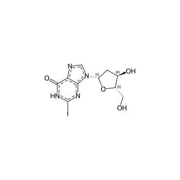 O=c1[nH]c(I)nc2c1ncn2[C@@H]1C[C@@H](O)[C@H](CO)O1